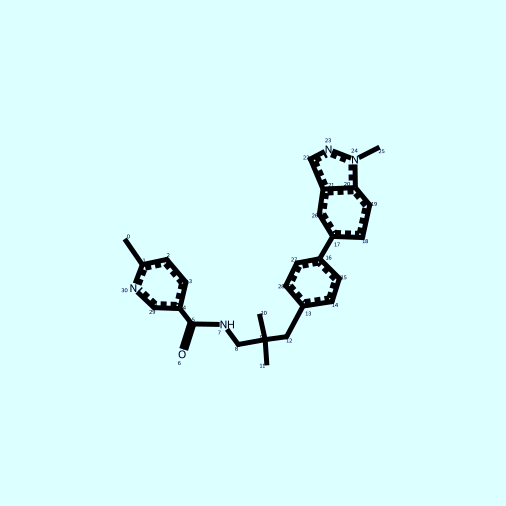 Cc1ccc(C(=O)NCC(C)(C)Cc2ccc(-c3ccc4c(cnn4C)c3)cc2)cn1